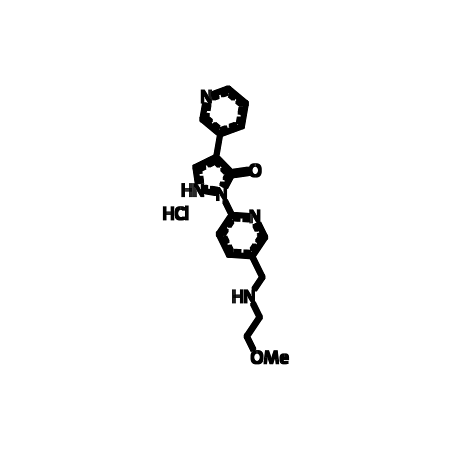 COCCNCc1ccc(-n2[nH]cc(-c3cccnc3)c2=O)nc1.Cl